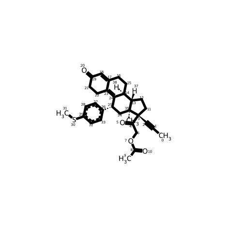 CC#C[C@]1(C(=O)COC(C)=O)CC[C@H]2[C@@H]3CCC4=CC(=O)CCC4=C3[C@@H](c3ccc(SC)cc3)C[C@@]21C